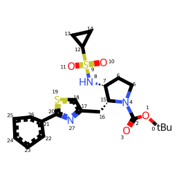 CC(C)(C)OC(=O)N1CC[C@@H](NS(=O)(=O)C2CC2)[C@H]1Cc1csc(-c2ccccc2)n1